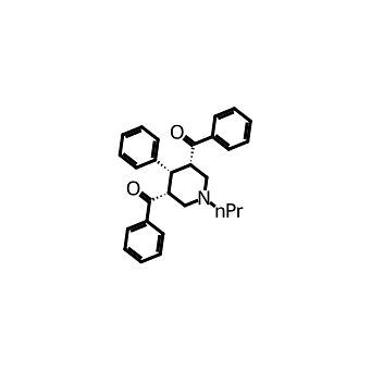 CCCN1C[C@H](C(=O)c2ccccc2)[C@H](c2ccccc2)[C@H](C(=O)c2ccccc2)C1